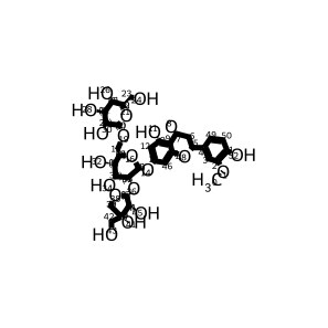 COc1cc(C2CC(=O)c3c(O)cc(O[C@@H]4O[C@H](CO[C@@H]5O[C@H](CO)[C@@H](O)[C@H](O)[C@H]5O)[C@@H](O)[C@H](O)[C@H]4O[C@@H]4OC[C@](O)(CO)[C@H]4O)cc3O2)ccc1O